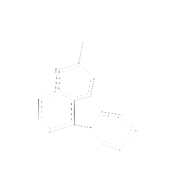 Cc1cc2c3c(cccc3n1)-c1ccccc1-2